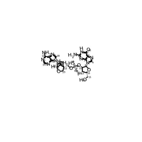 Nc1nc2c(ncn2[C@@H]2O[C@H](CO)[C@H](F)[C@H]2OP(=S)(S)OC[C@@]23CO[C@@H]([C@H](n4cnc5c(N)ncnc54)O2)[C@@H]3O)c(=O)[nH]1